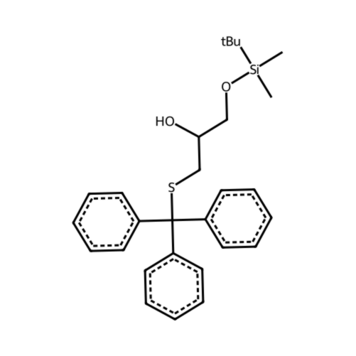 CC(C)(C)[Si](C)(C)OCC(O)CSC(c1ccccc1)(c1ccccc1)c1ccccc1